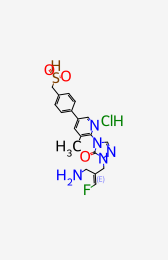 Cc1cc(-c2ccc(C[SH](=O)=O)cc2)cnc1-n1cnn(C/C(=C/F)CN)c1=O.Cl